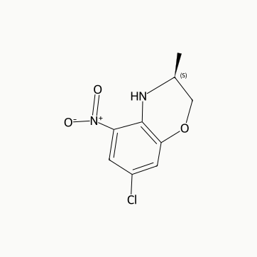 C[C@H]1COc2cc(Cl)cc([N+](=O)[O-])c2N1